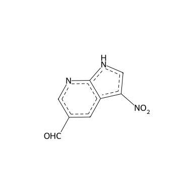 O=Cc1cnc2[nH]cc([N+](=O)[O-])c2c1